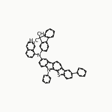 CC1(C)c2ccccc2-c2ccc(N(c3ccc4c(c3)c3ccc5c6cc(-c7ccccc7)ccc6sc5c3n4-c3ccccc3)c3cccc4ccccc34)cc21